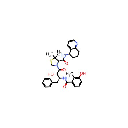 Cc1c(O)cccc1C(=O)N[C@@H](Cc1ccccc1)[C@H](O)C(=O)N1CSC(C)(C)[C@H]1C(=O)N[C@@H]1CCCc2ncccc21